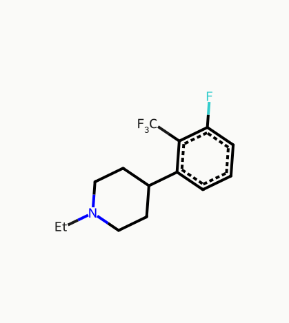 CCN1CCC(c2cccc(F)c2C(F)(F)F)CC1